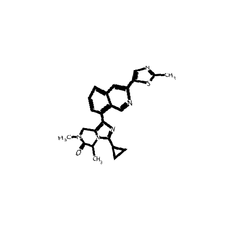 Cc1ncc(-c2cc3cccc(-c4nc(C5CC5)n5c4CN(C)C(=O)C5C)c3cn2)s1